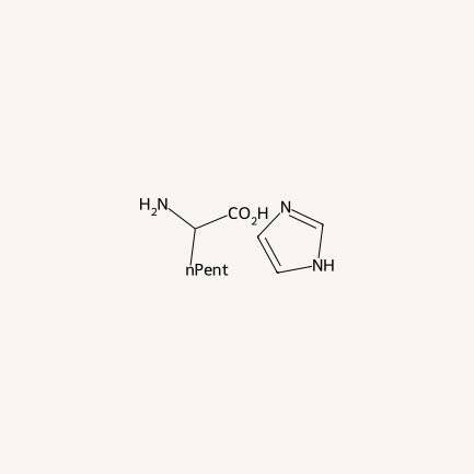 CCCCCC(N)C(=O)O.c1c[nH]cn1